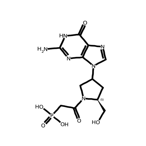 Nc1nc2c(ncn2C2C[C@@H](CO)N(C(=O)CP(=O)(O)O)C2)c(=O)[nH]1